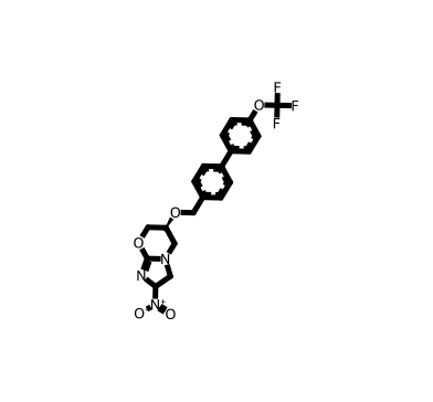 O=[N+]([O-])C1CN2C[C@H](OCc3ccc(-c4ccc(OC(F)(F)F)cc4)cc3)COC2=N1